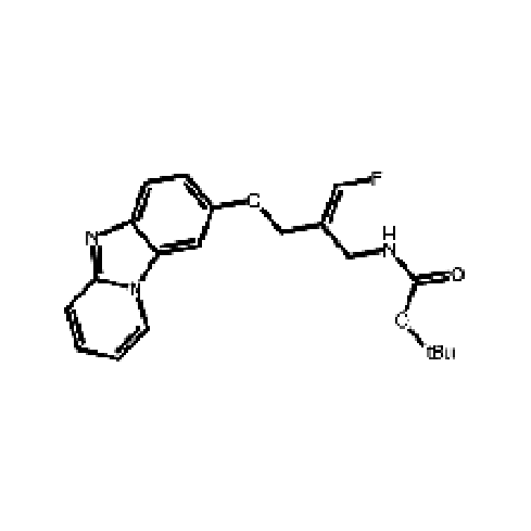 CC(C)(C)OC(=O)NCC(=CF)COc1ccc2nc3ccccn3c2c1